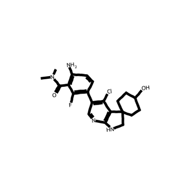 CN(C)C(=O)c1c(N)ccc(-c2cnc3c(c2Cl)C2(CCC(O)CC2)CN3)c1F